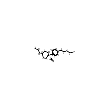 CCCCCc1ccc([C@]2(C#N)CC[C@H](CCC)CC2)cc1